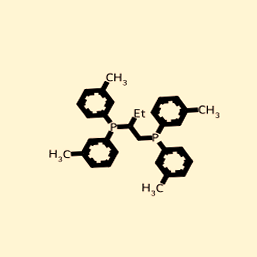 CCC(CP(c1cccc(C)c1)c1cccc(C)c1)P(c1cccc(C)c1)c1cccc(C)c1